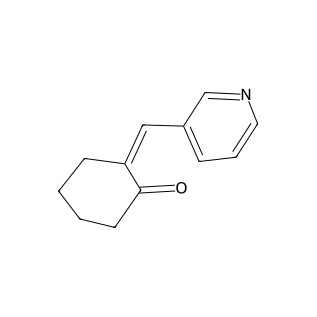 O=C1CCCC/C1=C/c1cccnc1